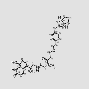 CN(CCNCC(O)c1ccc(O)c2[nH]c(=O)ccc12)C(=O)CCOCCc1ccc(CN2C[C@H]3CCC[C@H]3C2)cc1